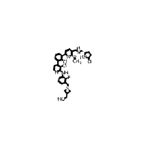 COc1nc(-c2cccc(-c3ccnc(Nc4cccc(CN5CC(CO)C5)c4F)c3Cl)c2Cl)ccc1CNC[C@@H]1CCC(=O)N1